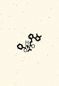 Cc1cccc(-c2ccccc2/C=C/C(=O)N(NC(=O)c2ccccc2)C(C)C)c1C